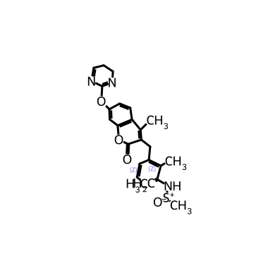 C=C(N[S+](C)[O-])/C(C)=C(\C=C/C)Cc1c(C)c2ccc(OC3=NCCC=N3)cc2oc1=O